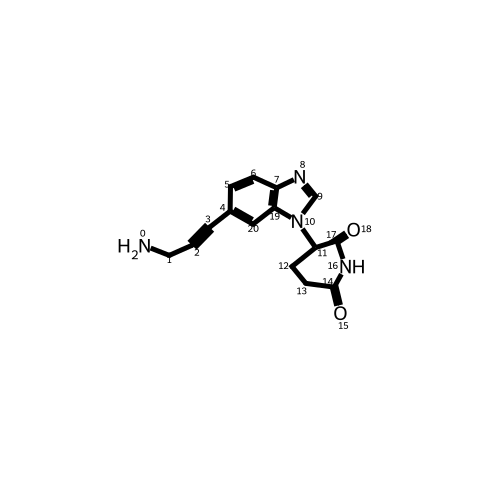 NCC#Cc1ccc2ncn(C3CCC(=O)NC3=O)c2c1